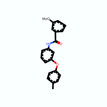 COc1cccc(C(=O)Nc2cccc(Oc3ccc(C)cc3)c2)c1